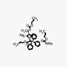 C=CCOC(=O)NC.C=CCOC(=O)OC(C)[C@H]1C(=O)N(C(C(=O)OCC=C)=P(c2ccccc2)(c2ccccc2)c2ccccc2)[C@@H]1SC(C)=O